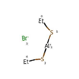 CC[S][Al+][S]CC.[Br-]